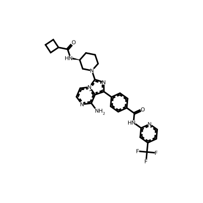 Nc1nccn2c(N3CCC[C@H](NC(=O)C4CCC4)C3)nc(-c3ccc(C(=O)Nc4cc(C(F)(F)F)ccn4)cc3)c12